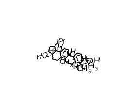 CC(C)[C@@H]1CC[C@]2(CO)CC[C@]3(C)[C@H](CC[C@@H]4[C@@]5(C)CC[C@H](O)C(C)(C)[C@@H]5CC[C@]43C)[C@@H]12